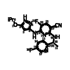 CC(C)Oc1cc(Nc2nc(N[C@@H](C)c3ccc(F)cn3)c(C#N)cc2F)n[nH]1